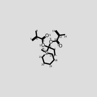 [CH2]CC(OC(=O)C(=C)C)(OC(=O)C(=C)C)[Si]1(C)CCCCC1